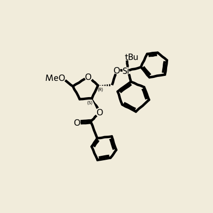 COC1C[C@H](OC(=O)c2ccccc2)[C@@H](CO[Si](c2ccccc2)(c2ccccc2)C(C)(C)C)O1